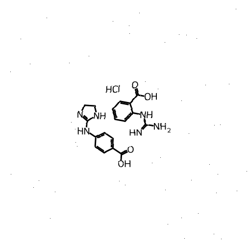 Cl.N=C(N)Nc1ccccc1C(=O)O.O=C(O)c1ccc(NC2=NCCN2)cc1